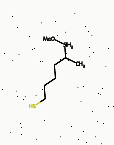 CO[SiH2]C(C)CCCCS